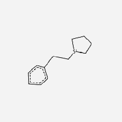 c1ccc(CC[S+]2CCCC2)cc1